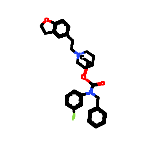 O=C(OC1C[N+]2(CCc3ccc4c(c3)CCO4)CCC1CC2)N(Cc1ccccc1)c1cccc(F)c1